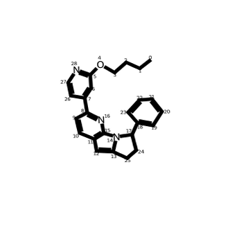 CCCCOc1cc(-c2ccc3cc4n(c3n2)C(c2ccccc2)CC4)ccn1